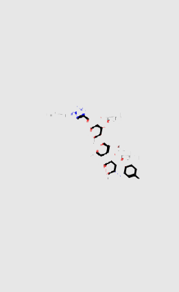 CCCCCn1cc(CO[C@@H]2O[C@H](C)[C@@H](O[C@H]3O[C@H](C)[C@@H](O[C@H]4O[C@H](C)[C@@H](N[C@H]5C=C(C)CC[C@H]5OS(=O)(=O)O)C[C@H]4OS(=O)(=O)O)C[C@H]3OS(=O)(=O)O)[C@H](OS(=O)(=O)O)[C@H]2OS(=O)(=O)O)nn1